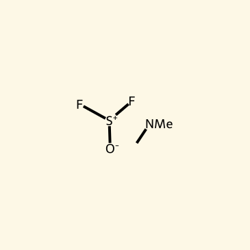 CNC.[O-][S+](F)F